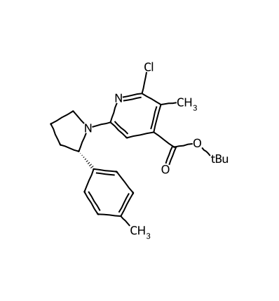 Cc1ccc([C@@H]2CCCN2c2cc(C(=O)OC(C)(C)C)c(C)c(Cl)n2)cc1